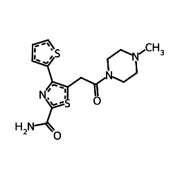 CN1CCN(C(=O)Cc2sc(C(N)=O)nc2-c2cccs2)CC1